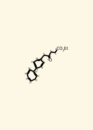 CCOC(=O)CCC(=O)Cc1ccc(C2=CCC=CC=C2)cc1